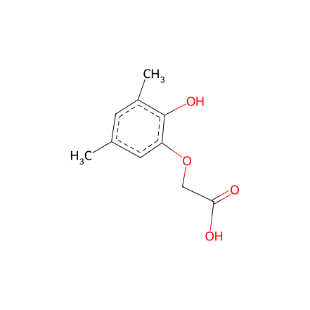 Cc1cc(C)c(O)c(OCC(=O)O)c1